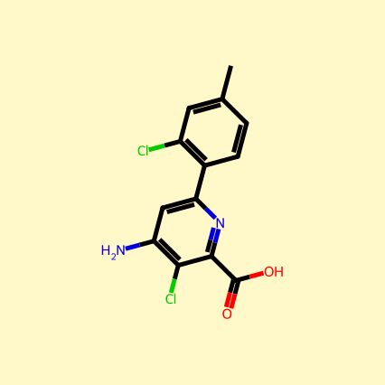 Cc1ccc(-c2cc(N)c(Cl)c(C(=O)O)n2)c(Cl)c1